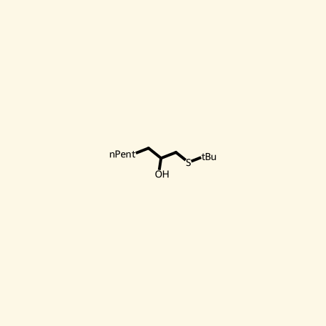 CCCCCCC(O)CSC(C)(C)C